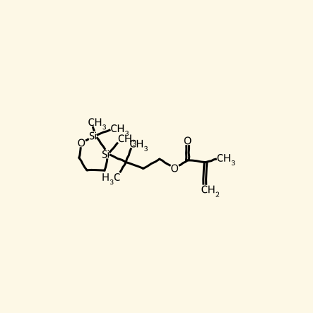 C=C(C)C(=O)OCCC(C)(C)[Si]1(C)CCCO[Si]1(C)C